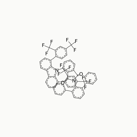 O=C1c2cccc(-n3c4c(-c5ccc(C(F)(F)F)cc5C(F)(F)F)cccc4c4cccc(-c5ccc(C(F)(F)F)cc5C(F)(F)F)c43)c2C(=O)N1c1c(-c2ccccc2)cccc1-c1ccccc1